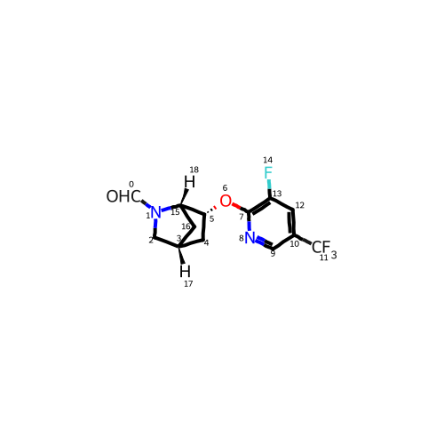 O=CN1C[C@H]2C[C@@H](Oc3ncc(C(F)(F)F)cc3F)[C@@H]1C2